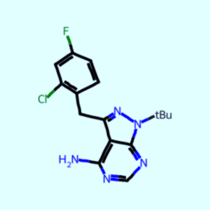 CC(C)(C)n1nc(Cc2ccc(F)cc2Cl)c2c(N)ncnc21